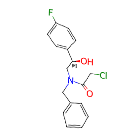 O=C(CCl)N(Cc1ccccc1)C[C@H](O)c1ccc(F)cc1